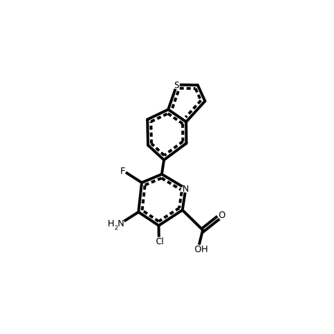 Nc1c(F)c(-c2ccc3sccc3c2)nc(C(=O)O)c1Cl